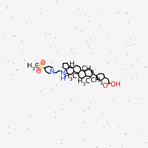 CC1(C)C(C2=CCC(CC(=O)O)CC2)=CCC2(C)C1CCC1(C)C3CCC4(NCCN5CCC(S(C)(=O)=O)CC5)CCC[C@@H]4C3CCC12